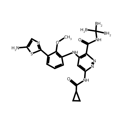 BC(B)(B)NC(=O)c1nnc(NC(=O)C2CC2)cc1Nc1cccc(-c2ncc(N)s2)c1OC